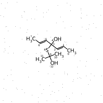 CC=CC(O)(C=CC)SC(C)(C)O